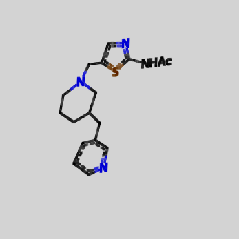 CC(=O)Nc1ncc(CN2CCCC(Cc3cccnc3)C2)s1